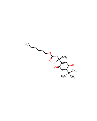 CCCCCCOC(=O)CC(C)(C)C1=CC(=O)C(C(C)(C)C)=CC1=O